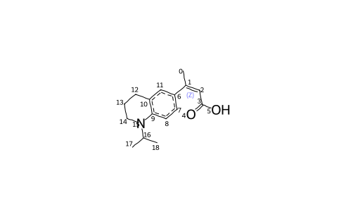 C/C(=C/C(=O)O)c1ccc2c(c1)CCCN2C(C)C